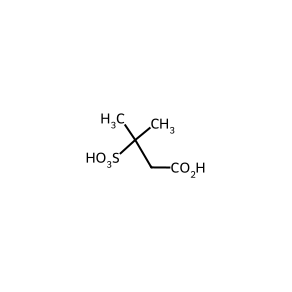 CC(C)(CC(=O)O)S(=O)(=O)O